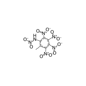 Cc1c(N[N+](=O)[O-])c([N+](=O)[O-])c([N+](=O)[O-])c([N+](=O)[O-])c1[N+](=O)[O-]